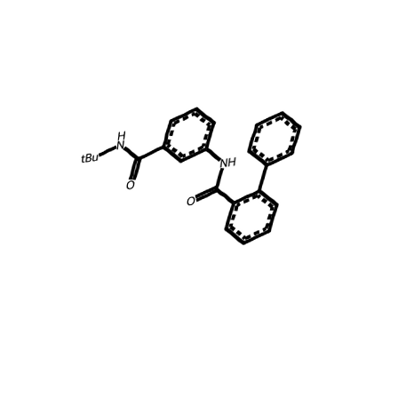 CC(C)(C)NC(=O)c1cccc(NC(=O)c2ccccc2-c2ccccc2)c1